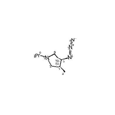 CC(C)N1C[C@H](C)[C@H](N=[N+]=[N-])C1